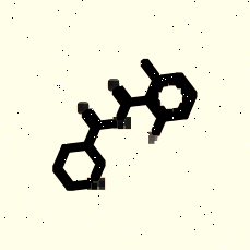 Cc1cccc(F)c1C(=O)NC(=O)C1CCCNC1